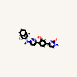 CN(c1ccc(-c2ccc(-c3ccn(C)c(=O)n3)cc2O)nn1)[C@H]1C[C@]2(C)CCC[C@](C)(C1)C2